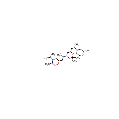 CC(CC1CN(C(C)CC2CN(C(C)C)C(C)CO2)CC(C)(C)O1)N1CCO[C@@H](C)C1